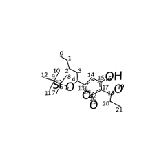 CCCCC(O[Si](C)(C)C(C)(C)C)c1cc(O)c(C(=O)CC)c(=O)o1